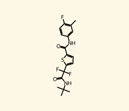 Cc1cc(NC(=O)c2ccc(C(F)(F)C(=O)NC(C)(C)C)s2)ccc1F